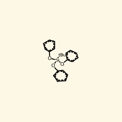 CC(C)(C)[Si](Oc1ccccc1)(Oc1ccccc1)Oc1ccccc1